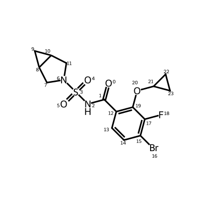 O=C(NS(=O)(=O)N1CC2CC2C1)c1ccc(Br)c(F)c1OC1CC1